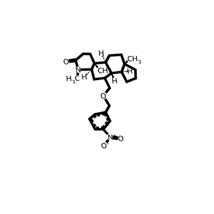 CN1C(=O)CC[C@]2(C)[C@H]3CC[C@]4(C)CCC[C@H]4[C@@H]3C(COCc3cccc([N+](=O)[O-])c3)C[C@@H]12